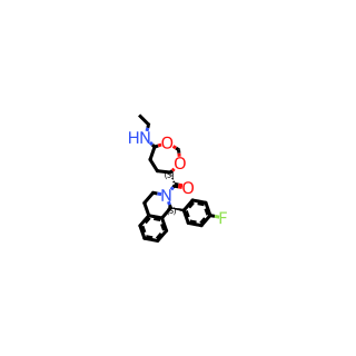 CCNC1CC[C@@H](C(=O)N2CCc3ccccc3[C@@H]2c2ccc(F)cc2)OCO1